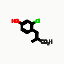 CC(=Cc1ccc(O)cc1Cl)C(=O)O